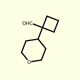 O=CC1(C2CCOCC2)CCC1